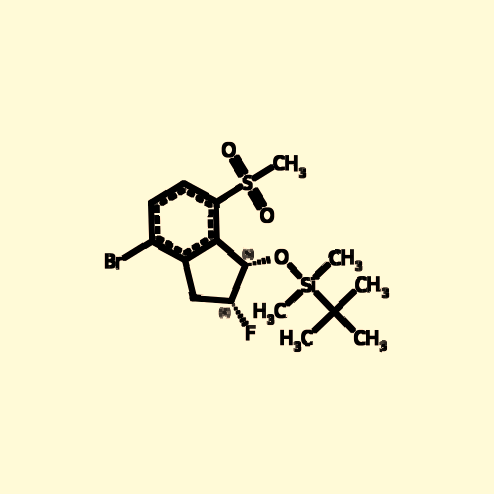 CC(C)(C)[Si](C)(C)O[C@H]1c2c(S(C)(=O)=O)ccc(Br)c2C[C@H]1F